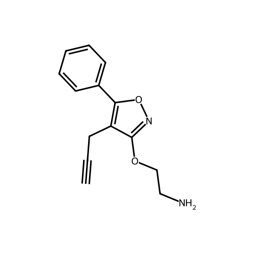 C#CCc1c(OCCN)noc1-c1ccccc1